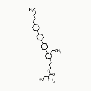 C=C(CO)C(=O)OCCCc1ccc(-c2ccc(C3CCC(C4CCC(CCCCC)CC4)CC3)cc2)c(CC)c1